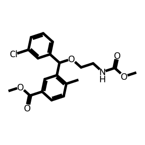 COC(=O)NCCOC(c1cccc(Cl)c1)c1cc(C(=O)OC)ccc1C